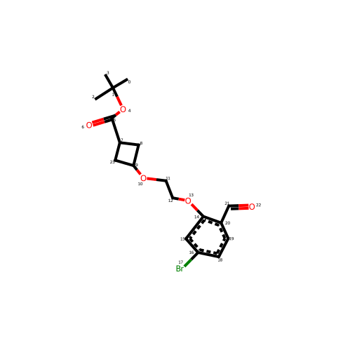 CC(C)(C)OC(=O)C1CC(OCCOc2cc(Br)ccc2C=O)C1